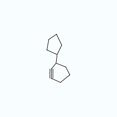 C1#CC(C2CCCC2)CCC1